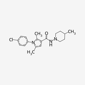 Cc1cc(C(=O)NN2CCC(C)CC2)c(C)n1-c1ccc(Cl)cc1